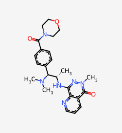 C[C@H](Nc1nn(C)c(=O)c2cccnc12)[C@H](c1ccc(C(=O)N2CCOCC2)cc1)N(C)C